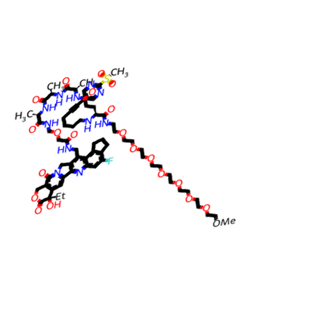 CC[C@@]1(O)C(=O)OCc2c1cc1n(c2=O)Cc2c-1nc1cc(F)c3c(c1c2CNC(=O)COCNC(=O)[C@H](C)NC(=O)[C@H](C)NC(=O)[C@H](C)NC(=O)CC[C@H](NCCCCC#Cc1cnc(S(C)(=O)=O)nc1)C(=O)NCCOCCOCCOCCOCCOCCOCCOCCOC)CCC3